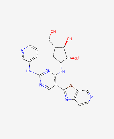 OC[C@H]1C[C@@H](Nc2nc(Nc3cccnc3)ncc2-c2nc3ccncc3s2)[C@H](O)[C@@H]1O